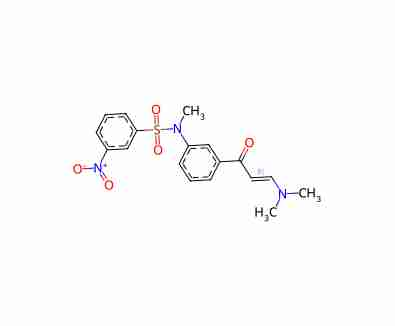 CN(C)/C=C/C(=O)c1cccc(N(C)S(=O)(=O)c2cccc([N+](=O)[O-])c2)c1